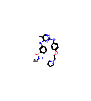 Cc1cnc(Nc2ccc(OCCN3CCCC3)cc2)nc1Nc1cccc([S+]([O-])NC(C)(C)C)c1